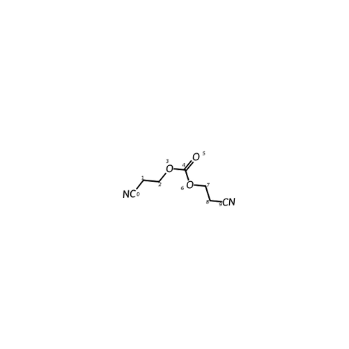 N#CCCOC(=O)OCCC#N